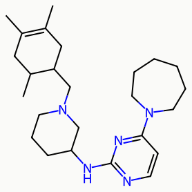 CC1=C(C)CC(CN2CCCC(Nc3nccc(N4CCCCCC4)n3)C2)C(C)C1